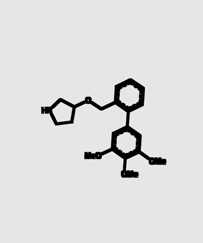 COc1cc(-c2ccccc2COC2CCNC2)cc(OC)c1OC